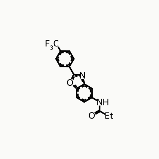 CCC(=O)Nc1ccc2oc(-c3ccc(C(F)(F)F)cc3)nc2c1